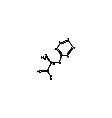 N[C@@H](Cc1ccccc1)C(=O)F